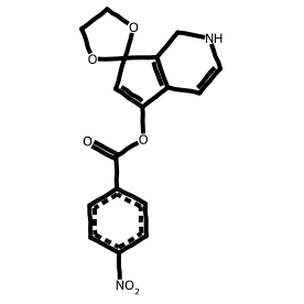 O=C(OC1=CC2(OCCO2)C2=C1C=CNC2)c1ccc([N+](=O)[O-])cc1